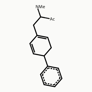 CNC(CC1=CCC(c2ccccc2)C=C1)C(C)=O